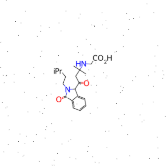 CC(C)CCN1C(=O)c2ccccc2C1C(=O)CC(C)(C)NCC(=O)O